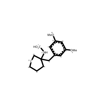 COc1cc(CC2(NC(=O)O)CCCCC2)cc(OC)c1